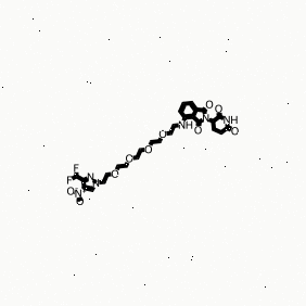 O=C1CCC(N2C(=O)c3cccc(NCCOCCOCCOCCOCCn4cc([N+](=O)[O-])c(C(F)F)n4)c3C2=O)C(=O)N1